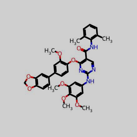 COc1cc(-c2ccc3c(c2)OCO3)ccc1Oc1nc(Nc2cc(OC)c(OC)c(OC)c2)ncc1C(=O)Nc1c(C)cccc1C